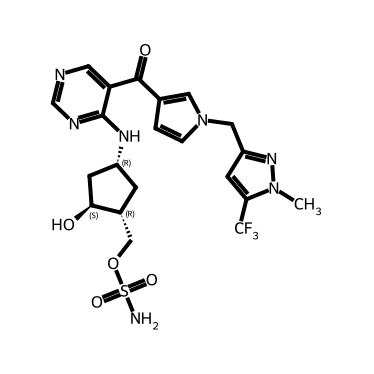 Cn1nc(Cn2ccc(C(=O)c3cncnc3N[C@@H]3C[C@H](COS(N)(=O)=O)[C@@H](O)C3)c2)cc1C(F)(F)F